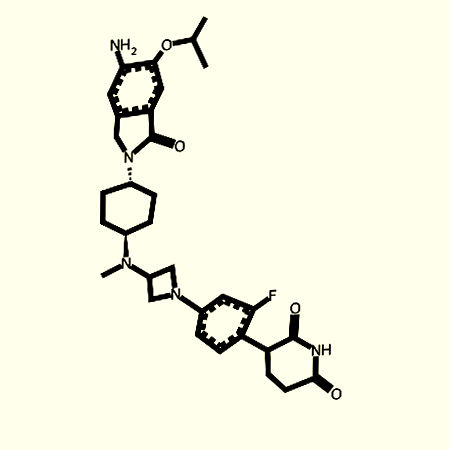 CC(C)Oc1cc2c(cc1N)CN([C@H]1CC[C@H](N(C)C3CN(c4ccc(C5CCC(=O)NC5=O)c(F)c4)C3)CC1)C2=O